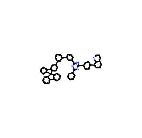 c1ccc(-c2nc(-c3ccc(-c4cccc5cccnc45)cc3)nc(-c3cccc(-c4cccc(-c5ccc6c(c5)-c5ccccc5C65c6ccccc6-c6ccccc65)c4)c3)n2)cc1